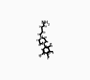 Cc1c(F)c(F)cc(N2CCN(CCCCN)CC2)c1F